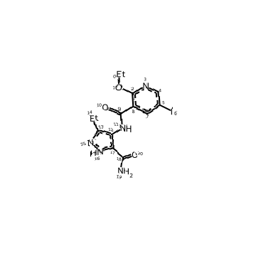 CCOc1ncc(I)cc1C(=O)Nc1c(CC)n[nH]c1C(N)=O